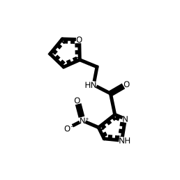 O=C(NCc1ccco1)c1n[nH]cc1[N+](=O)[O-]